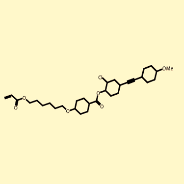 C=CC(=O)OCCCCCCOC1CCC(C(=O)OC2CCC(C#CC3CCC(OC)CC3)CC2Cl)CC1